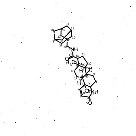 C[C@]12C=CC(=O)NC1CC[C@@H]1[C@H]2CC[C@]2(C)C(C(=O)NCC34CC5CC(CC(C5)C3)C4)CC[C@@H]12